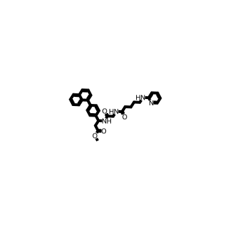 COC(=O)CC(NC(=O)CNC(=O)CCCCNc1ccccn1)c1ccc(-c2cccc3ccccc23)cc1